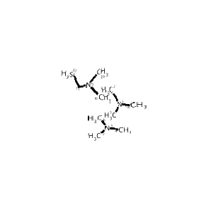 CN(C)C.CN(C)C.CN(C)C[SiH3]